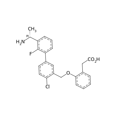 C[C@@H](N)c1cccc(-c2ccc(Cl)c(COc3ccccc3CC(=O)O)c2)c1F